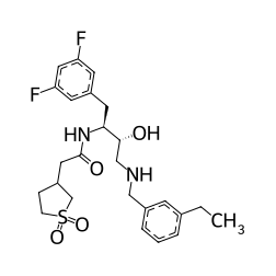 CCc1cccc(CNC[C@@H](O)[C@H](Cc2cc(F)cc(F)c2)NC(=O)CC2CCS(=O)(=O)C2)c1